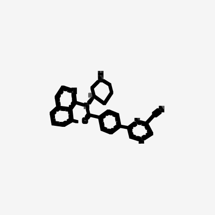 Cc1cccc2ccnc(N(C(=O)c3ccc(-c4cncc(C#N)n4)cc3)[C@@H]3CCCNC3)c12